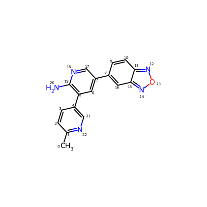 Cc1ccc(-c2cc(-c3ccc4nonc4c3)cnc2N)cn1